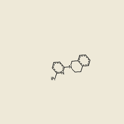 CC(C)c1cccc(N2CCc3ccccc3C2)n1